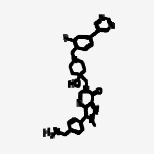 Cn1nc2c(=O)n(CC3(O)CCN(Cc4ccc(-c5cncnc5)cc4F)CC3)cnc2c1-c1ccc(CN)cc1